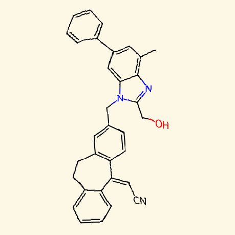 Cc1cc(-c2ccccc2)cc2c1nc(CO)n2Cc1ccc2c(c1)CCc1ccccc1C2=CC#N